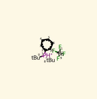 CC(C)(C)[PH+](c1ccccc1)C(C)(C)C.F[B-](F)(F)F